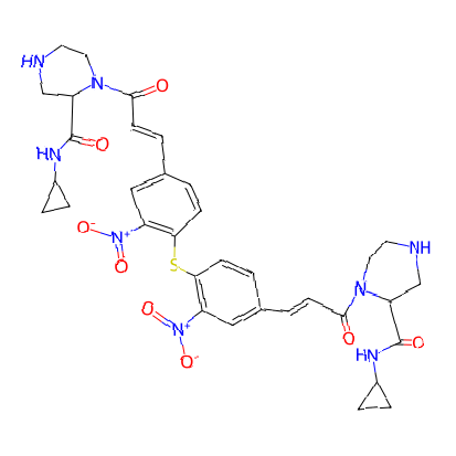 O=C(NC1CC1)C1CNCCN1C(=O)/C=C/c1ccc(Sc2ccc(/C=C/C(=O)N3CCNCC3C(=O)NC3CC3)cc2[N+](=O)[O-])c([N+](=O)[O-])c1